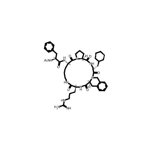 CC(=O)N[C@@H](Cc1ccccc1)C(=O)N[C@H]1CCCNC(=O)[C@H](CCCNC(=N)N)NC(=O)[C@@H]2Cc3ccccc3CN2C(=O)[C@@H](CC2CCCCC2)NC(=O)[C@@H]2CCCN2C1=O